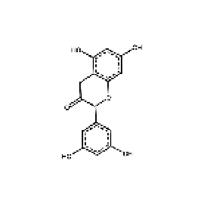 O=C1Cc2c(O)cc(O)cc2OC1c1cc(O)cc(O)c1